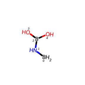 BNB(O)O